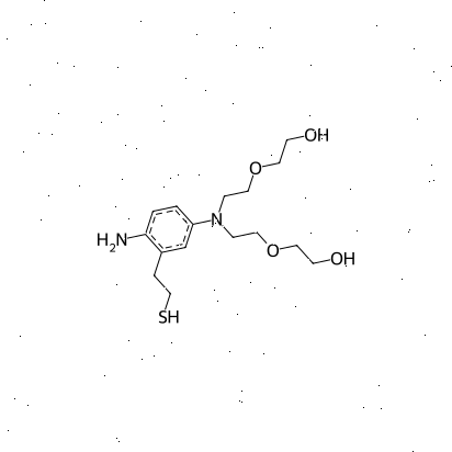 Nc1ccc(N(CCOCCO)CCOCCO)cc1CCS